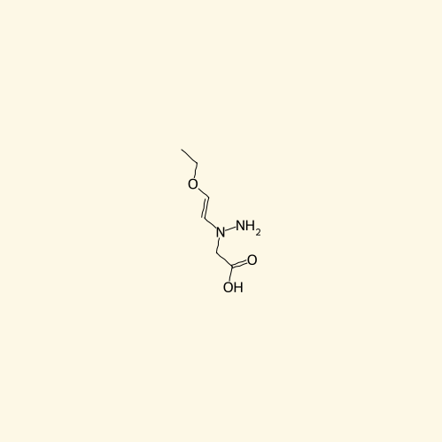 CCOC=CN(N)CC(=O)O